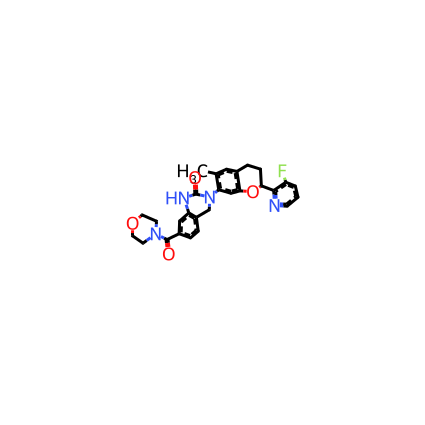 Cc1cc2c(cc1N1Cc3ccc(C(=O)N4CCOCC4)cc3NC1=O)OC(c1ncccc1F)CC2